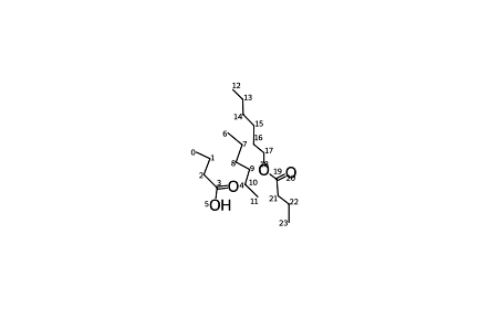 CCCC(=O)O.CCCCCC.CCCCCCOC(=O)CCC